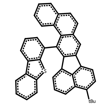 CC(C)(C)c1ccc2c3c(cccc13)-c1c-2cc2ccc3ccccc3c2c1-c1cccc2c1sc1ccccc12